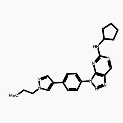 COCCn1cc(-c2ccc(-n3nnc4cnc(NC5CCCC5)nc43)cc2)cn1